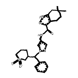 CC1(C)CCc2c(C(=O)Nc3cnn(C(c4ccccc4)C4CCCS(=O)(=O)C4)c3)n[nH]c2C1